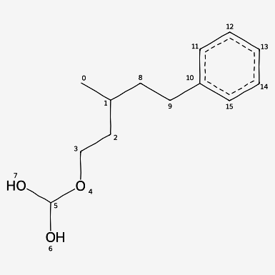 CC(CCOC(O)O)CCc1ccccc1